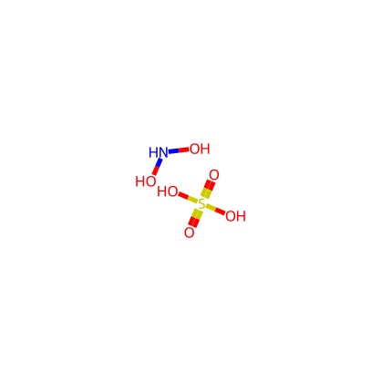 O=S(=O)(O)O.ONO